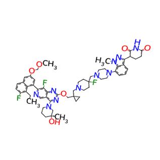 CCc1c(F)ccc2cc(OCOC)cc(-c3ncc4c(N5CCC[C@@](C)(O)C5)nc(OCC5(CN6CCC(F)(CN7CCN(c8cccc9c(C%10CCC(=O)NC%10=O)nn(C)c89)CC7)CC6)CC5)nc4c3F)c12